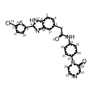 O=C(Cc1ccc2[nH]c(-c3ccc(Cl)s3)nc2c1)Nc1ccc(-n2ccncc2=O)cc1